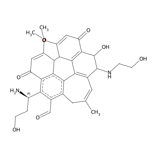 COC1=CC(=O)C2=C3C4=C(C=C(C)Cc5c(C=O)c([C@H](N)CCO)c6c(c54)C(C(OC)=CC6=O)C13)C(NCCO)C2O